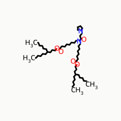 CCCCCCC(CCCCCC)CCCOC(=O)CCCCCCCN(CCCCCCCC(=O)OCCCC(CCCCCC)CCCCCC)C(=O)CCN1CCCC1